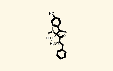 CC(=O)C(c1ccc(O)cc1)[C@](C(=O)O)(C(=O)[C@H](N)Cc1ccccc1)N(I)I